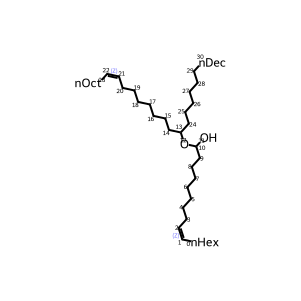 CCCCCC/C=C\CCCCCCCC(O)OC(CCCCCCC/C=C\CCCCCCCC)CCCCCCCCCCCCCCCC